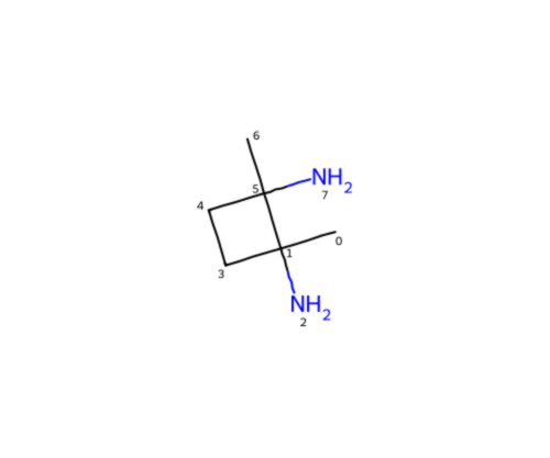 CC1(N)CCC1(C)N